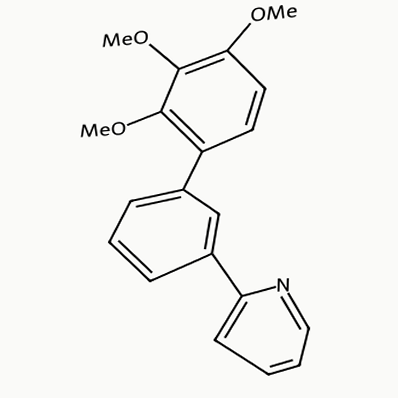 COc1ccc(-c2cccc(-c3ccccn3)c2)c(OC)c1OC